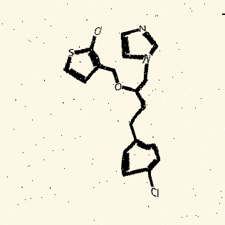 Clc1ccc(CCC(Cn2ccnc2)OCc2ccsc2Cl)cc1